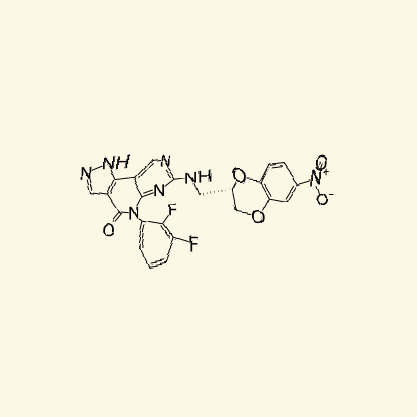 O=c1c2cn[nH]c2c2cnc(NC[C@H]3COc4cc([N+](=O)[O-])ccc4O3)nc2n1-c1cccc(F)c1F